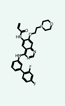 C=CC(=O)Nc1cc2c(Nc3cccc(-c4ccc(F)cc4F)c3)ncnc2cc1OCCN1CCOCC1